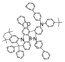 CC(C)(C)c1ccc(N(c2ccc(-c3ccccc3)cc2)c2ccc3c(c2)-c2c4c(cc5c2oc2ccccc25)N2c5cc6c(cc5C(c5ccccc5)(c5ccccc5)c5cccc(c52)B4N3c2ccc(-c3ccccc3)cc2)C(C)(C)CCC6(C)C)cc1